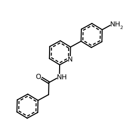 Nc1ccc(-c2cccc(NC(=O)Cc3ccccc3)n2)cc1